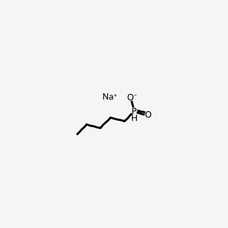 CCCCC[PH](=O)[O-].[Na+]